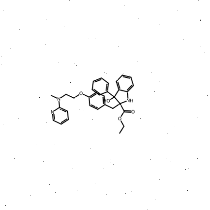 CCOC(=O)C1(Cc2ccc(OCCN(C)c3ccccn3)cc2)Nc2ccccc2C1(O)c1ccccc1